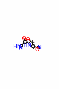 COc1cc(-c2cn[nH]c2)cc2c1OCC1C2Nc2ccc(-c3cnco3)cc2C1(C)C